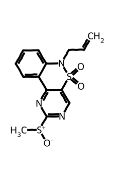 C=CCN1c2ccccc2-c2nc([S+](C)[O-])ncc2S1(=O)=O